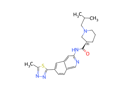 Cc1nnc(-c2ccc3cnc(NC(=O)[C@@H]4CCCN(CC(C)C)C4)cc3c2)s1